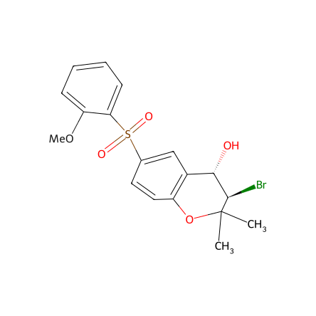 COc1ccccc1S(=O)(=O)c1ccc2c(c1)[C@H](O)[C@@H](Br)C(C)(C)O2